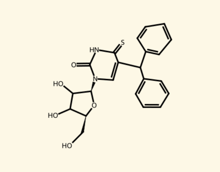 O=c1[nH]c(=S)c(C(c2ccccc2)c2ccccc2)cn1[C@H]1O[C@@H](CO)C(O)C1O